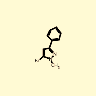 Cn1nc(-c2ccccc2)cc1Br